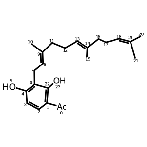 CC(=O)c1ccc(O)c(C/C=C(\C)CC/C=C(\C)CCC=C(C)C)c1O